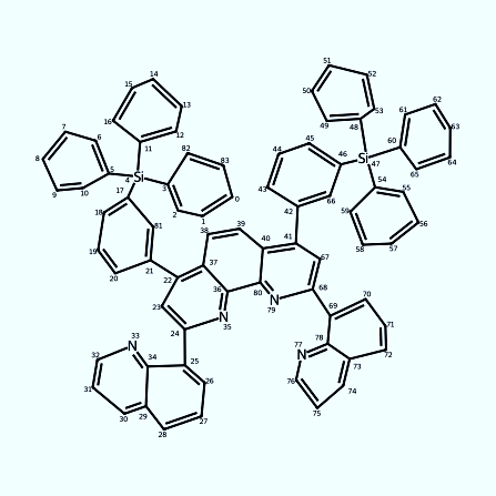 c1ccc([Si](c2ccccc2)(c2ccccc2)c2cccc(-c3cc(-c4cccc5cccnc45)nc4c3ccc3c(-c5cccc([Si](c6ccccc6)(c6ccccc6)c6ccccc6)c5)cc(-c5cccc6cccnc56)nc34)c2)cc1